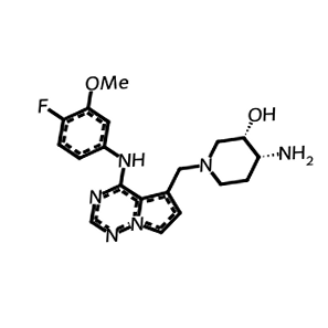 COc1cc(Nc2ncnn3ccc(CN4CC[C@@H](N)[C@@H](O)C4)c23)ccc1F